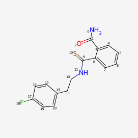 NC(=O)c1ccccc1C(=S)NCCc1ccc(F)cc1